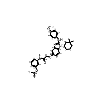 CC1(C)CCC[C@H](n2c(Nc3ccc(OC(F)(F)F)cc3)nc3cc(OCC(=O)Nc4cccc(OC(F)F)c4)ccc32)C1